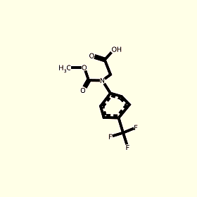 COC(=O)N(CC(=O)O)c1ccc(C(F)(F)F)cc1